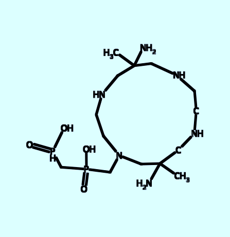 CC1(N)CNCCNCC(C)(N)CN(CP(=O)(O)C[PH](=O)O)CCNC1